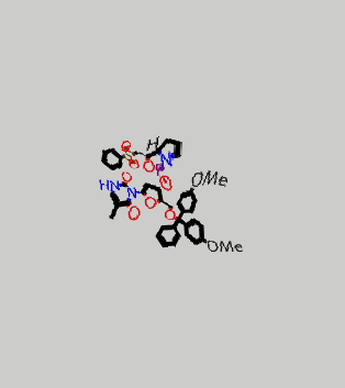 COc1ccc(C(OC[C@H]2O[C@@H](n3c(=O)[nH]cc(C)c3=O)C[C@@H]2O[P@@]2O[C@H](CS(=O)(=O)c3ccccc3)[C@@H]3CCCN32)(c2ccccc2)c2ccc(OC)cc2)cc1